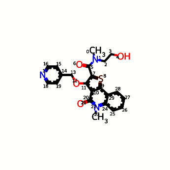 CN(CCO)C(=O)c1sc2c(c1OCc1ccncc1)c(=O)n(C)c1ccccc21